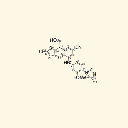 COc1cc(Nc2cc(C#N)cn([C@@H](CO)c3ccc(Cl)s3)c2=O)ccc1-n1cnc(C)c1